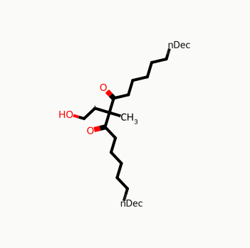 CCCCCCCCCCCCCCCC(=O)C(C)([CH]CO)C(=O)CCCCCCCCCCCCCCC